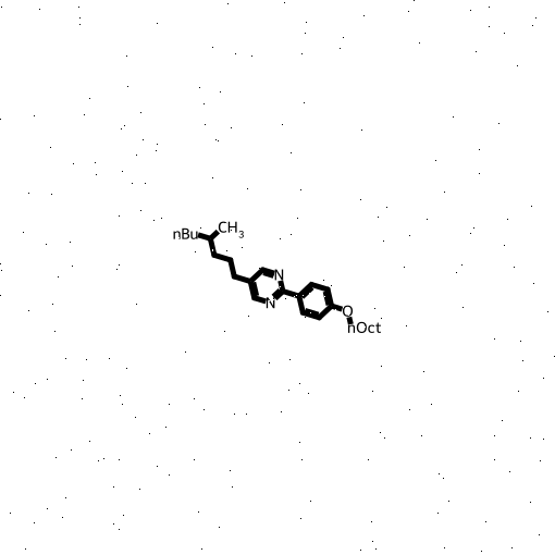 CCCCCCCCOc1ccc(-c2ncc(CCCC(C)CCCC)cn2)cc1